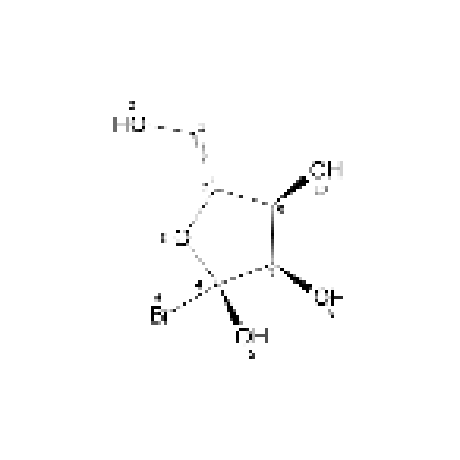 OC[C@H]1O[C@@](O)(Br)[C@H](O)[C@@H]1O